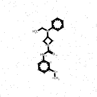 CCN(c1ccccc1)C1CN(C(=O)Nc2cccc(SC)c2)C1